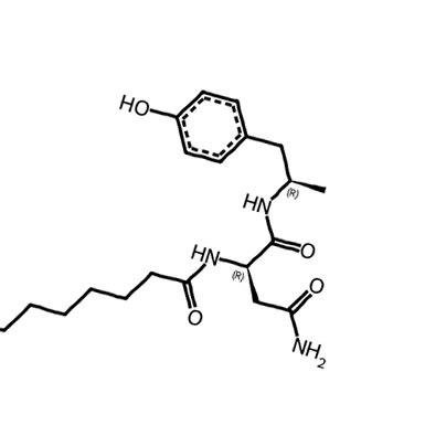 CCCCCCCC(=O)N[C@H](CC(N)=O)C(=O)N[C@H](C)Cc1ccc(O)cc1